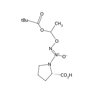 CC(O/N=[N+](\[O-])N1CCC[C@H]1C(=O)O)OC(=O)C(C)(C)C